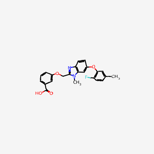 Cc1ccc(F)c(Oc2ccc3nc(COc4cccc(C(=O)O)c4)n(C)c3c2)c1